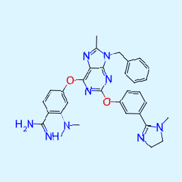 Cc1nc2c(Oc3ccc(C(=N)N)c(N(C)C)c3)nc(Oc3cccc(C4=NCCN4C)c3)nc2n1Cc1ccccc1